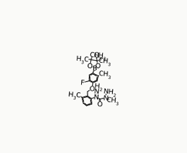 Cc1cc(OCc2c(C)cccc2N(N)C(=O)N(C)N)c(F)cc1B1OC(C)(C)C(C)(C)O1